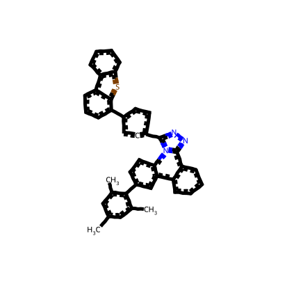 Cc1cc(C)c(-c2ccc3c(c2)c2ccccc2c2nnc(-c4ccc(-c5cccc6c5sc5ccccc56)cc4)n32)c(C)c1